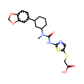 CN(C(=O)Nc1ncc(SCC(=O)O)s1)C1CCCC(c2ccc3c(c2)OCO3)C1